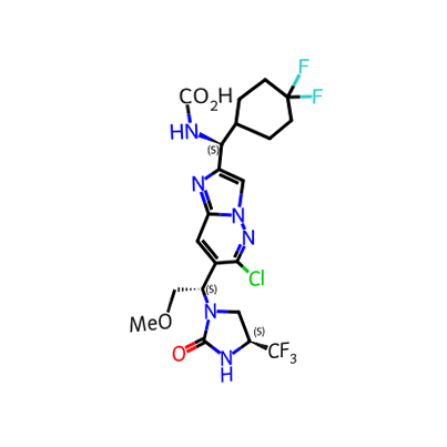 COC[C@H](c1cc2nc([C@@H](NC(=O)O)C3CCC(F)(F)CC3)cn2nc1Cl)N1C[C@@H](C(F)(F)F)NC1=O